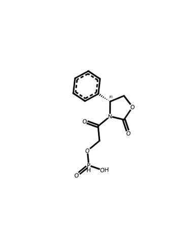 O=C(CO[PH](=O)O)N1C(=O)OC[C@H]1c1ccccc1